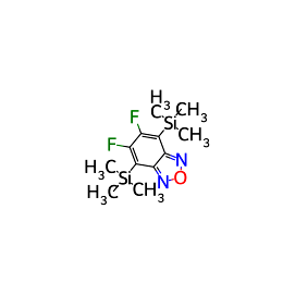 C[Si](C)(C)c1c(F)c(F)c([Si](C)(C)C)c2nonc12